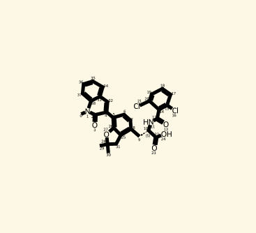 Cn1c(=O)c(-c2ccc(C[C@H](NC(=O)c3c(Cl)cccc3Cl)C(=O)O)c3c2OC(C)(C)C3)cc2ccccc21